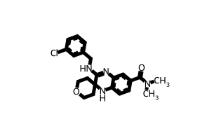 CN(C)C(=O)c1ccc2c(c1)N=C(NCc1cccc(Cl)c1)C1(CCOCC1)N2